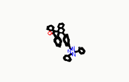 c1ccc(-c2nc(-c3ccccc3)nc(-c3ccc(C4Cc5ccccc5-c5c4c4ccccc4c4oc6ccccc6c54)cc3)n2)cc1